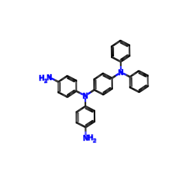 Nc1ccc(N(c2ccc(N)cc2)c2ccc(N(c3ccccc3)c3ccccc3)cc2)cc1